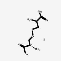 NC(CSSC[C@H](N)C(=O)O)C(=O)O.[S]